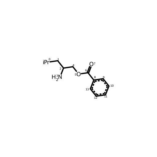 CC(C)CC(N)COC(=O)c1ccccc1